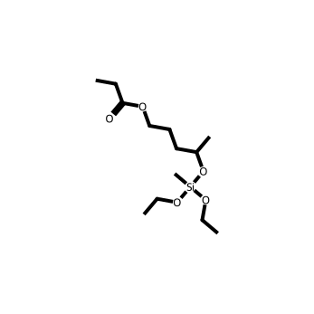 CCO[Si](C)(OCC)OC(C)CCCOC(=O)CC